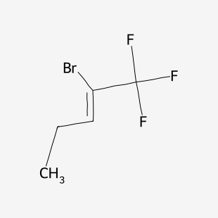 CCC=C(Br)C(F)(F)F